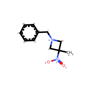 CC1([N+](=O)[O-])CN(Cc2ccccc2)C1